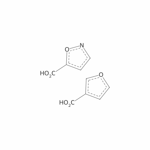 O=C(O)c1ccno1.O=C(O)c1ccoc1